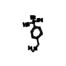 CCS(S)(S)c1ccc(CN)cc1